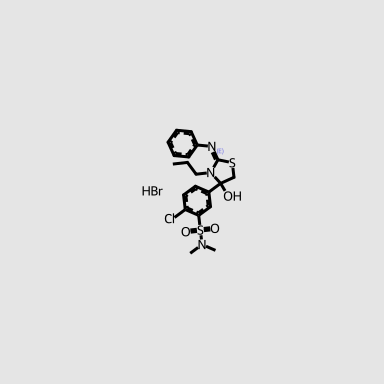 Br.CCCN1/C(=N\c2ccccc2)SCC1(O)c1ccc(Cl)c(S(=O)(=O)N(C)C)c1